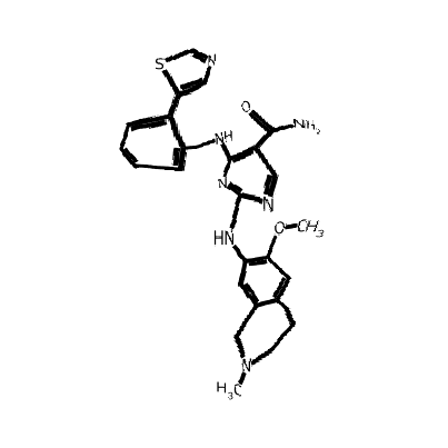 COc1cc2c(cc1Nc1ncc(C(N)=O)c(Nc3ccccc3-c3cncs3)n1)CN(C)CC2